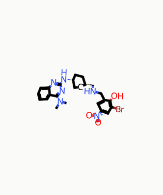 CN(C)c1nc(N[C@H]2CC[C@@H](CNCc3cc([N+](=O)[O-])cc(Br)c3O)CC2)nc2ccccc12